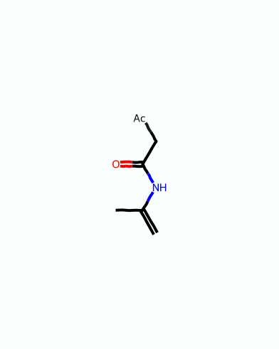 C=C(C)NC(=O)CC(C)=O